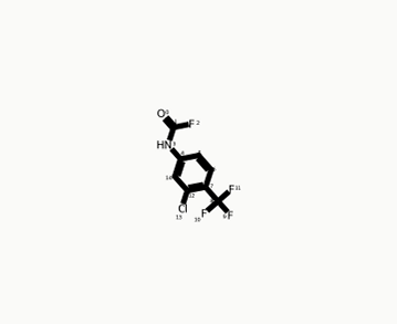 O=C(F)Nc1ccc(C(F)(F)F)c(Cl)c1